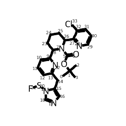 CC(C)(C)OC(=O)N1C(c2cccc(Cc3cncn3SF)n2)CCCC1c1ncccc1Cl